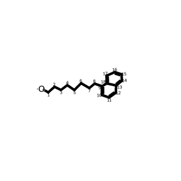 [O]CCCCCCCCc1cccc2ccccc12